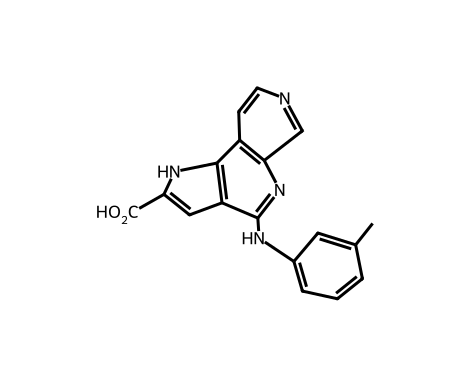 Cc1cccc(Nc2nc3cnccc3c3[nH]c(C(=O)O)cc23)c1